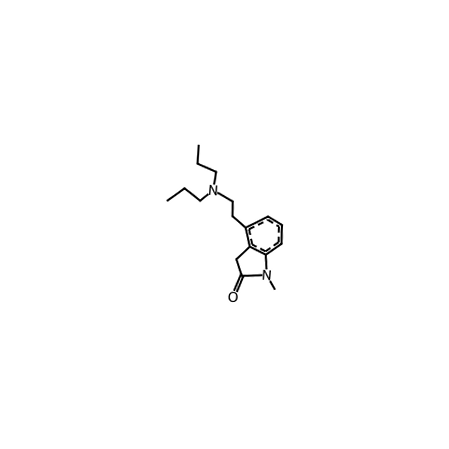 CCCN(CCC)CCc1cccc2c1CC(=O)N2C